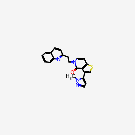 Cn1nccc1-c1csc2ccn(CCc3ccc4ccccc4n3)c(=O)c12